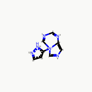 C1=NC=NC2=CN=C[N+]12c1ccn[nH]1